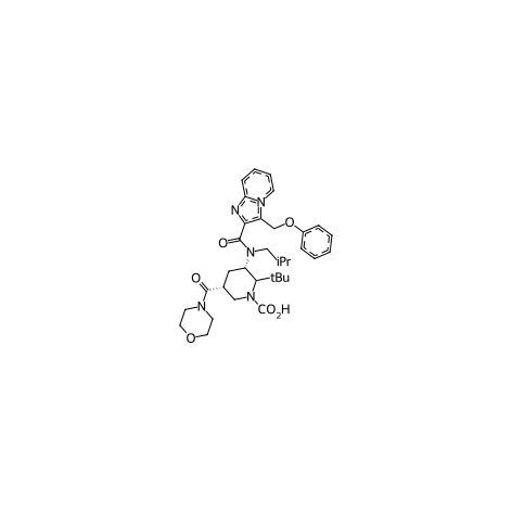 CC(C)CN(C(=O)c1nc2ccccn2c1COc1ccccc1)[C@H]1C[C@@H](C(=O)N2CCOCC2)CN(C(=O)O)C1C(C)(C)C